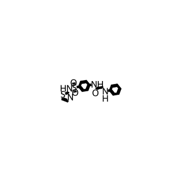 O=C(CNc1ccccc1)Nc1ccc(S(=O)(=O)Nc2nccs2)cc1